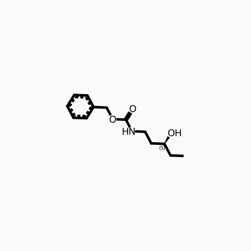 CC[C@H](O)CCNC(=O)OCc1ccccc1